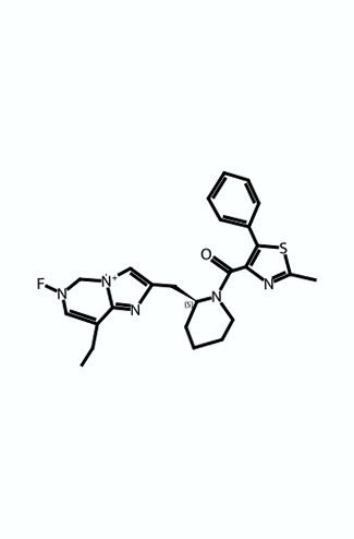 CCC1=CN(F)C[N+]2C=C(C[C@@H]3CCCCN3C(=O)c3nc(C)sc3-c3ccccc3)N=C12